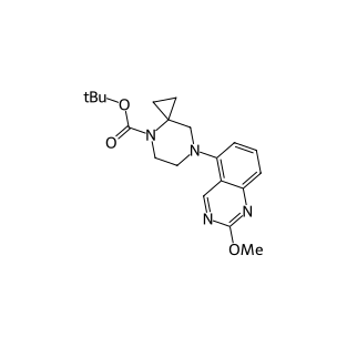 COc1ncc2c(N3CCN(C(=O)OC(C)(C)C)C4(CC4)C3)cccc2n1